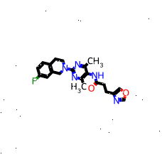 Cc1nc(N2CCc3ccc(F)cc3C2)nc(C)c1NC(=O)CCc1cocn1